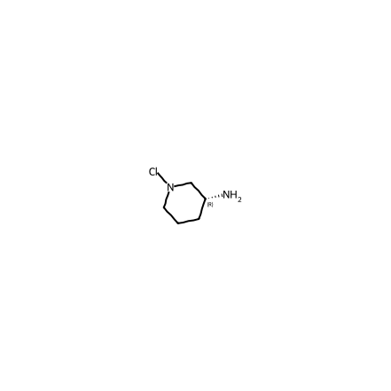 N[C@@H]1CCCN(Cl)C1